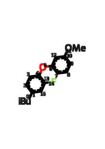 CCC(C)c1ccc(Oc2cccc(OC)c2)c(F)c1